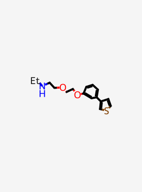 CCNCCOCCOc1cccc(-c2ccsc2)c1